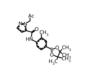 CC(=O)Cn1nccc1C(=O)Nc1ccc(B2OC(C)(C)C(C)(C)O2)cc1C